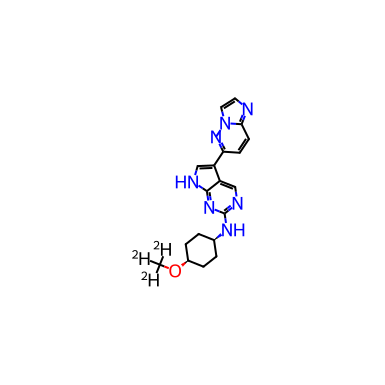 [2H]C([2H])([2H])O[C@H]1CC[C@@H](Nc2ncc3c(-c4ccc5nccn5n4)c[nH]c3n2)CC1